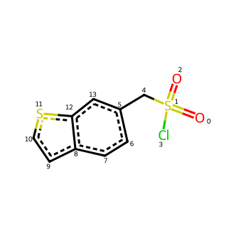 O=S(=O)(Cl)Cc1ccc2ccsc2c1